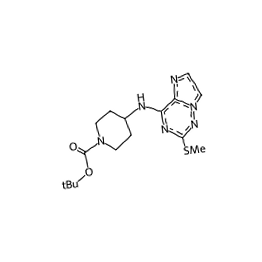 CSc1nc(NC2CCN(C(=O)OC(C)(C)C)CC2)c2nccn2n1